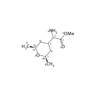 COC(=O)C(N)C1C[C@@H](C)O[C@@H](C)C1